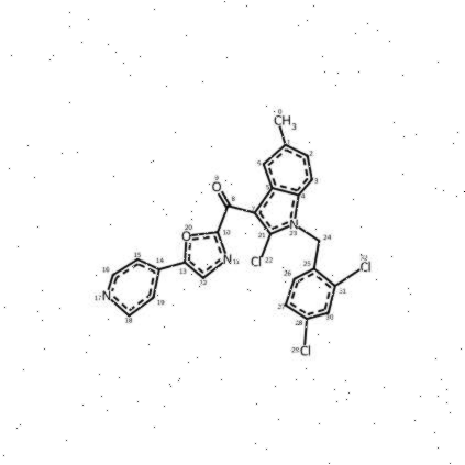 Cc1ccc2c(c1)c(C(=O)c1ncc(-c3ccncc3)o1)c(Cl)n2Cc1ccc(Cl)cc1Cl